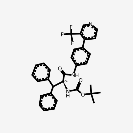 CC(C)(C)OC(=O)N[C@H](C(=O)Nc1ccc(-c2ccncc2C(F)(F)F)cc1)C(c1ccccc1)c1ccccc1